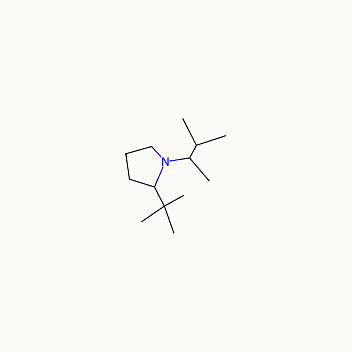 CC(C)C(C)N1CCCC1C(C)(C)C